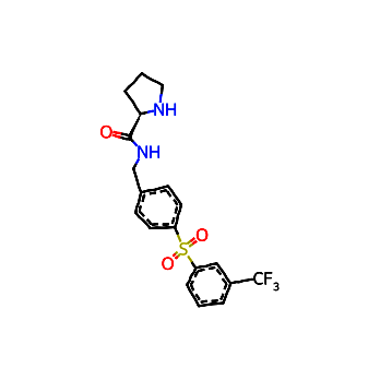 O=C(NCc1ccc(S(=O)(=O)c2cccc(C(F)(F)F)c2)cc1)[C@H]1CCCN1